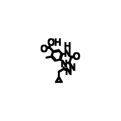 Cc1cc2c(cc1C(=O)O)[nH]c(=O)c1nnc(CC3CC3)n12